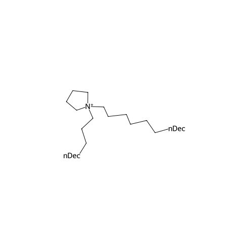 CCCCCCCCCCCCCCCC[N+]1(CCCCCCCCCCCCC)CCCC1